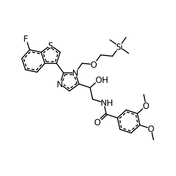 COc1ccc(C(=O)NCC(O)c2cnc(-c3csc4c(F)cccc34)n2COCC[Si](C)(C)C)cc1OC